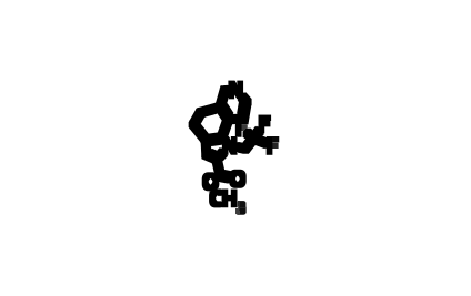 COC(=O)c1cc2c(n1CC(F)(F)F)-c1ccncc1CC2